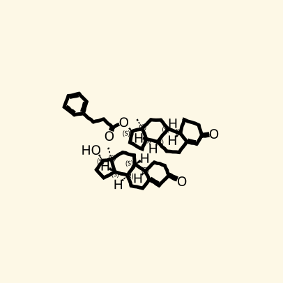 C[C@]12CC[C@H]3[C@@H](CCC4=CC(=O)CC[C@@H]43)[C@@H]1CC[C@@H]2O.C[C@]12CC[C@H]3[C@@H](CCC4=CC(=O)CC[C@@H]43)[C@@H]1CC[C@@H]2OC(=O)CCc1ccccc1